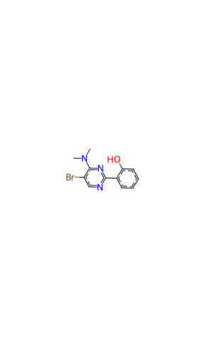 CN(C)c1nc(-c2ccccc2O)ncc1Br